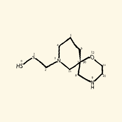 SSCN1CCC[C@@]2(CNCCO2)C1